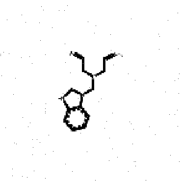 C=CCP(CC=C)CN1CNc2ccccc21